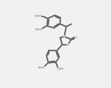 COc1ccc(C2CN(C(C)c3ccc(OC)c(OC)c3)C(=O)O2)cc1OC